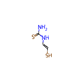 NC(=S)NC=CS